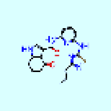 CCCc1nsc(Nc2cccc(NC(=O)C3=CNC4CCCC(=O)C34)n2)n1